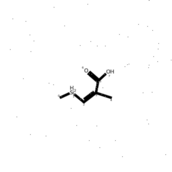 C[SiH2]C=C(C)C(=O)O